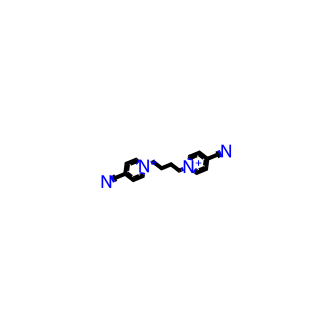 N#Cc1cc[n+](CCCC[n+]2ccc(C#N)cc2)cc1